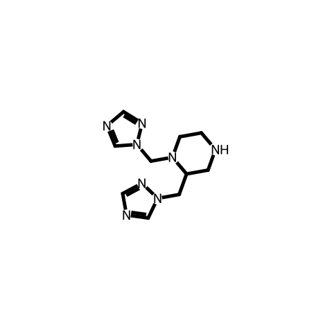 c1ncn(CC2CNCCN2Cn2cncn2)n1